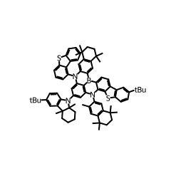 Cc1cc2c(cc1N1c3cc(N4c5ccc(C(C)(C)C)cc5C5(C)CCCCC45C)cc4c3B(c3cc5c(cc3N4c3cccc4sc6ccccc6c34)C(C)(C)CCC5(C)C)c3ccc4c(sc5ccc(C(C)(C)C)cc54)c31)C(C)(C)CCC2(C)C